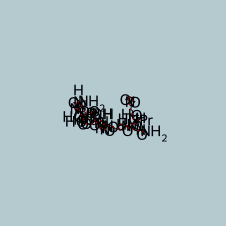 CC(C)C(NC(=O)CCCCCN1C(=O)C=CC1=O)C(=O)N[C@@H](CCCNC(N)=O)C(=O)Nc1ccc(COC(=O)Nc2ncnc3c2ncn3C2OC3COP(=O)(O)OC4C(COP(=O)(O)OC2C3O)OC(n2cnc3c(=O)[nH]c(N)nc32)C4O)cc1